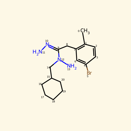 Cc1ccc(Br)cc1C/C(=N/N)N(N)CC1CCCCC1